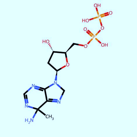 CC1(N)N=CN=C2C1=NCN2[C@H]1C[C@H](O)[C@@H](COP(=O)(O)OP(=O)(O)O)O1